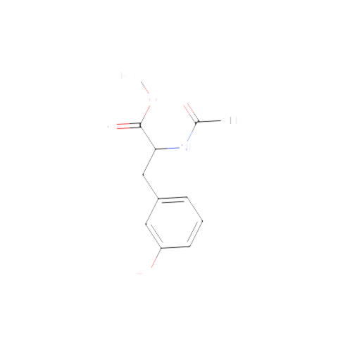 COC(=O)C(Cc1cccc(O)c1)NC(C)=O